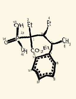 CCOC(=O)C(CC)(C(CC)C(C)c1ccccc1)P(=O)(O)O